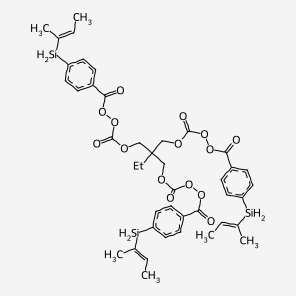 CC=C(C)[SiH2]c1ccc(C(=O)OOC(=O)OCC(CC)(COC(=O)OOC(=O)c2ccc([SiH2]C(C)=CC)cc2)COC(=O)OOC(=O)c2ccc([SiH2]C(C)=CC)cc2)cc1